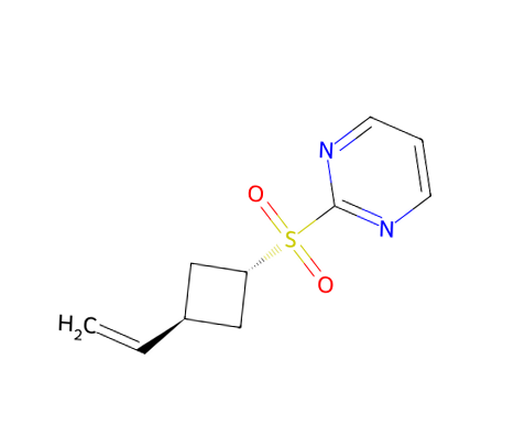 C=C[C@H]1C[C@H](S(=O)(=O)c2ncccn2)C1